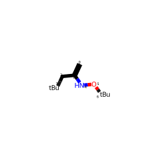 C=C(CC(C)(C)C)NOC(C)(C)C